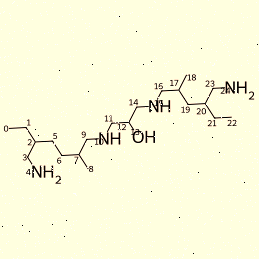 CCC(CN)CCC(C)CNCC(O)CNCC(C)CC(CC)CN